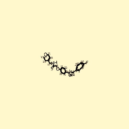 Fc1ccc(-c2noc(-c3ccc(OCC(=S)NCC4=CCOCC4)cc3)n2)cc1